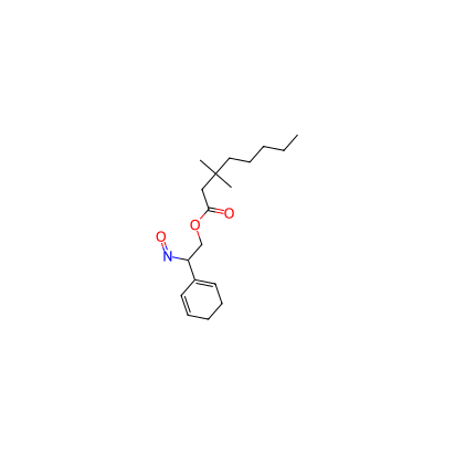 CCCCCC(C)(C)CC(=O)OCC(N=O)C1=CCCC=C1